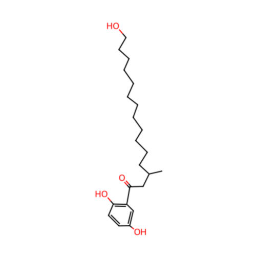 CC(CCCCCCCCCCCCO)CC(=O)c1cc(O)ccc1O